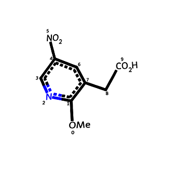 COc1ncc([N+](=O)[O-])cc1CC(=O)O